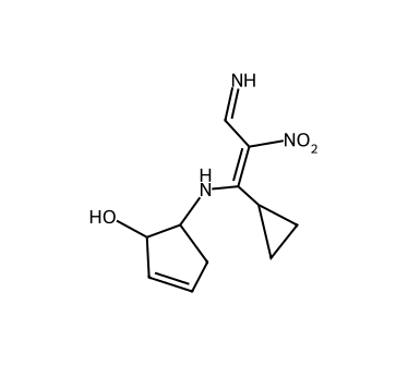 N=C/C(=C(\NC1CC=CC1O)C1CC1)[N+](=O)[O-]